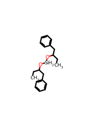 CCC(Cc1ccccc1)O[SiH2]OC(CC)Cc1ccccc1